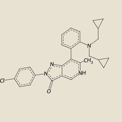 Cc1[nH]cc2c(=O)n(-c3ccc(Cl)cc3)nc-2c1-c1ccccc1N(CC1CC1)CC1CC1